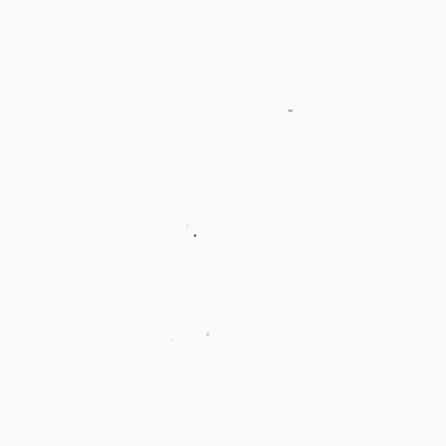 O=CC1CN(CCCF)C1